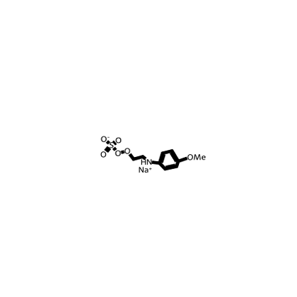 COc1ccc(NCCOOS(=O)(=O)[O-])cc1.[Na+]